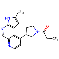 Cc1cc2c(ncc3nccc(C4CCN(C(=O)CC(F)(F)F)C4)c32)[nH]1